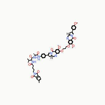 COc1ccc(C2=CN3C(=O)c4cc(OC)c(OCCCOc5cc6c(cc5OC)C(=O)N5C=C(c7ccc(NC(=O)[C@H](C)NC(=O)[C@@H](NC(=O)CCCCN8C(=O)C9C%10C=C(C)C(C%10)C9C8=O)C(C)C)cc7)C[C@H]5C=N6)cc4N=C[C@@H]3C2)cc1